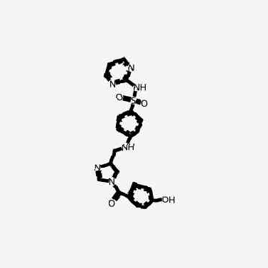 O=C(c1ccc(O)cc1)N1C=NC(CNc2ccc(S(=O)(=O)Nc3ncccn3)cc2)C1